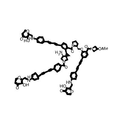 COC1CN(C(=O)c2ccc(C#CC#Cc3ccc(NCc4occc(=O)c4O)cc3)cc2OC[C@@H]2CCCN2C(=O)c2ccc(C#CC#Cc3ccc(NCc4occc(=O)c4O)cc3)cc2C2CC23CN(C(=O)c2ccc(C#CC#Cc4ccc(NCc5occc(=O)c5O)cc4)cc2)C[C@H]3N)C1